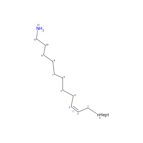 CCCCCCCC/C=C\CCCCCCC[CH]N